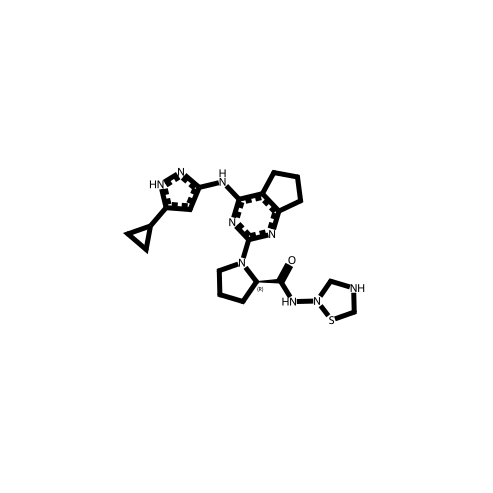 O=C(NN1CNCS1)[C@H]1CCCN1c1nc2c(c(Nc3cc(C4CC4)[nH]n3)n1)CCC2